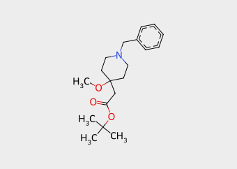 COC1(CC(=O)OC(C)(C)C)CCN(Cc2ccccc2)CC1